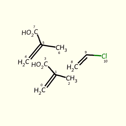 C=C(C)C(=O)O.C=C(C)C(=O)O.C=CCl